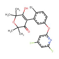 CCc1ccc(Oc2cc(F)cc(F)n2)cc1C1=C(O)C(C)(C)OC(C)(C)C1=O